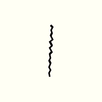 C=CC/C=C/C/C=C/C/C=C/C/C=C/CCCC